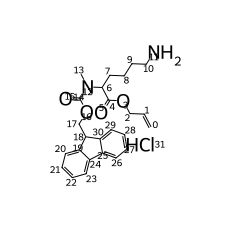 C=CCOC(=O)C(CCCCN)N(C)C(=O)OCC1c2ccccc2-c2ccccc21.Cl